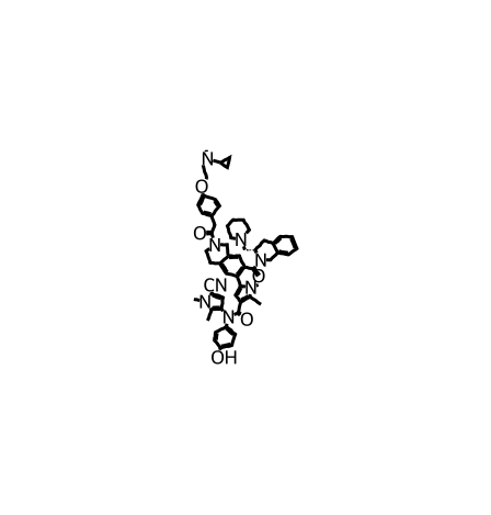 Cc1c(N(C(=O)c2cc(-c3cc4c(cc3C(=O)N3Cc5ccccc5C[C@H]3CN3CCCCC3)CN(C(=O)Cc3ccc(OCCN(C)C5CC5)cc3)CC4)n(C)c2C)c2ccc(O)cc2)cc(C#N)n1C